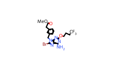 COC(=O)Cc1cccc(Cn2c(Br)nc3c(N)nc(OCCCC(F)(F)F)nc32)c1